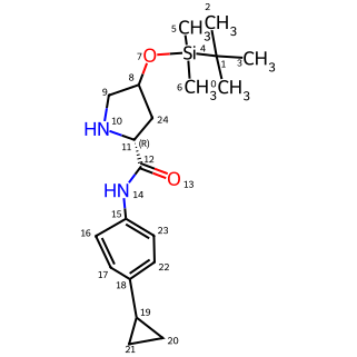 CC(C)(C)[Si](C)(C)OC1CN[C@@H](C(=O)Nc2ccc(C3CC3)cc2)C1